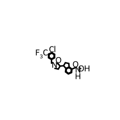 O=C(NO)c1cccc2c1CCC2C1CCN(Cc2ccc(Cl)c(C(F)(F)F)c2)C1=O